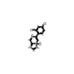 Clc1ccc(C2=C[N+]3(Cl)N=CN=C3C=N2)c(Cl)c1